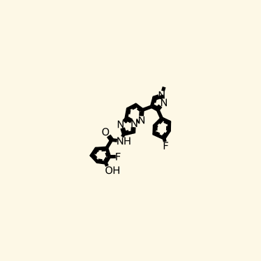 Cn1cc(-c2ccc3nc(NC(=O)c4cccc(O)c4F)cn3n2)c(-c2ccc(F)cc2)n1